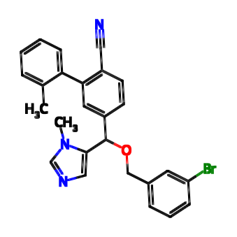 Cc1ccccc1-c1cc(C(OCc2cccc(Br)c2)c2cncn2C)ccc1C#N